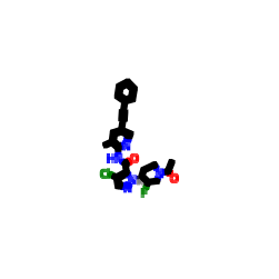 CC(=O)N1CC[C@@H](n2ncc(Cl)c2C(=O)Nc2ncc(C#Cc3ccccc3)cc2C)C(F)C1